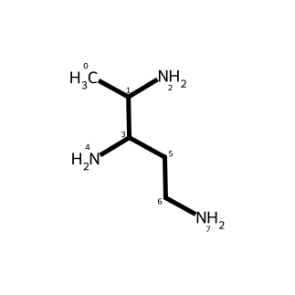 CC(N)C(N)CCN